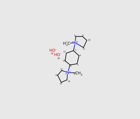 C[N+]1(C2CCC([N+]3(C)CCCC3)CC2)CCCC1.[OH-].[OH-]